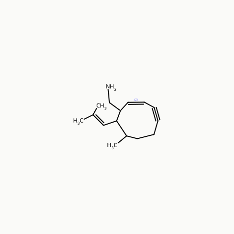 CC(C)=CC1C(C)CCC#C/C=C\C1CN